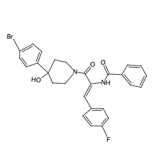 O=C(NC(=Cc1ccc(F)cc1)C(=O)N1CCC(O)(c2ccc(Br)cc2)CC1)c1ccccc1